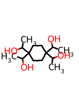 CC(O)C1(C(C)O)CCC(C(C)O)(C(C)O)CC1